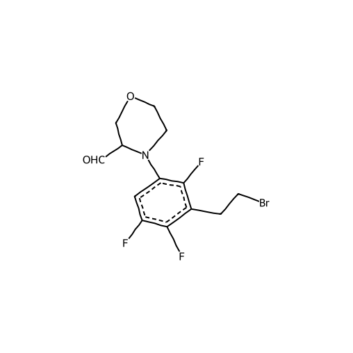 O=CC1COCCN1c1cc(F)c(F)c(CCBr)c1F